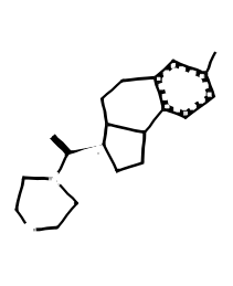 Cc1ccc2c(c1)CCC1C2CC[C@H]1C(=O)N1CCOCC1